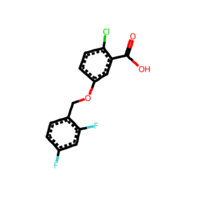 O=C(O)c1cc(OCc2ccc(F)cc2F)ccc1Cl